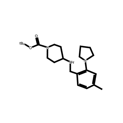 Cc1ccc(CNC2CCN(C(=O)OC(C)(C)C)CC2)c(N2CCCC2)c1